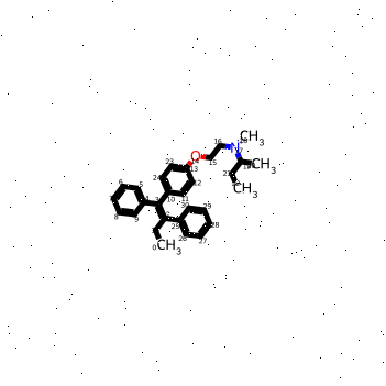 CC/C(=C(\c1ccccc1)c1ccc(OCCN(C)C(C)CC)cc1)c1ccccc1